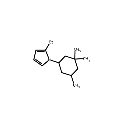 CCc1cccn1C1CC(C)CC(C)(C)C1